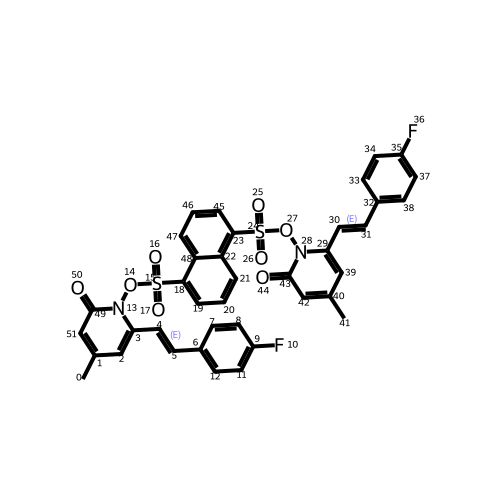 Cc1cc(/C=C/c2ccc(F)cc2)n(OS(=O)(=O)c2cccc3c(S(=O)(=O)On4c(/C=C/c5ccc(F)cc5)cc(C)cc4=O)cccc23)c(=O)c1